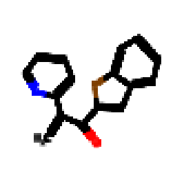 C=C(C(=O)c1cc2ccccc2s1)c1ccccn1